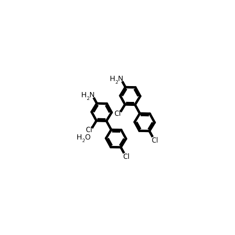 Nc1ccc(-c2ccc(Cl)cc2)c(Cl)c1.Nc1ccc(-c2ccc(Cl)cc2)c(Cl)c1.O